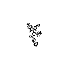 COCCCNc1nc(C(C)(C)C)ncc1C(=O)N(CC(C)C)[C@H]1C[C@@H](C(=O)N2CCN(c3ccccn3)CC2)CN(C(=O)OC(C)(C)C)C1